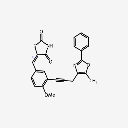 COc1ccc(/C=C2/SC(=O)NC2=O)cc1C#CCc1nc(-c2ccccc2)oc1C